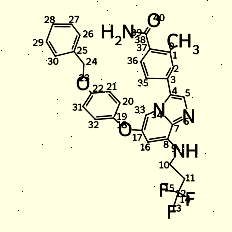 Cc1cc(-c2cnc3c(NCCC(F)(F)F)cc(Oc4ccc(OCc5ccccc5)cc4)cn23)ccc1C(N)=O